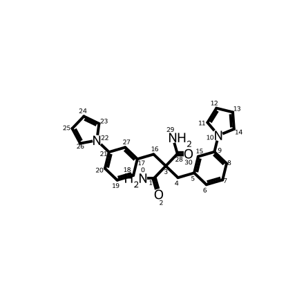 NC(=O)C(Cc1cccc(-n2cccc2)c1)(Cc1cccc(-n2cccc2)c1)C(N)=O